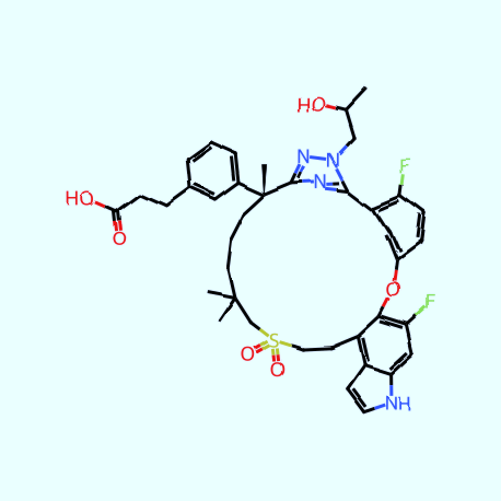 CC(O)Cn1nc2nc1-c1cc(ccc1F)Oc1c(F)cc3[nH]ccc3c1CCS(=O)(=O)CC(C)(C)CCC[C@]2(C)c1cccc(CCC(=O)O)c1